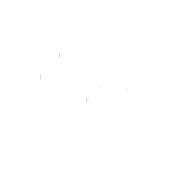 [O]C(OC(F)(F)C(F)F)C(F)F